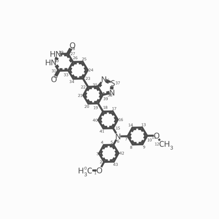 COc1ccc(N(c2ccc(OC)cc2)c2ccc(-c3ccc(-c4ccc5c(=O)[nH][nH]c(=O)c5c4)c4nsnc34)cc2)cc1